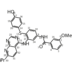 COc1cccc(C(=O)Nc2ccc(Sc3ccc(O)cc3)c(Nc3ncnc4nc(C(C)C)ccc34)c2)c1